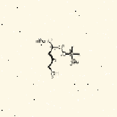 CCCCCC(C=CCO)OO[Si](C)(C)C(C)(C)C